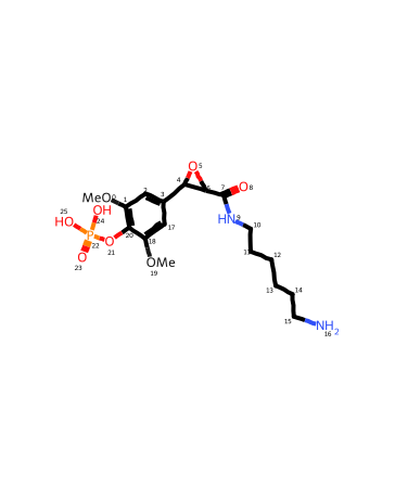 COc1cc(C2OC2C(=O)NCCCCCCN)cc(OC)c1OP(=O)(O)O